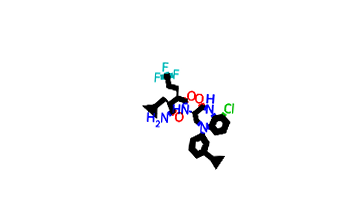 NC(=O)[C@@H](CC1CC1)[C@@H](CCC(F)(F)F)C(=O)N[C@H]1CN(c2cccc(C3CC3)c2)c2cccc(Cl)c2NC1=O